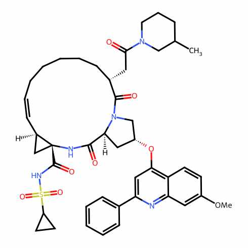 COc1ccc2c(O[C@@H]3C[C@H]4C(=O)N[C@]5(C(=O)NS(=O)(=O)C6CC6)C[C@H]5/C=C\CCCCC[C@H](CC(=O)N5CCCC(C)C5)C(=O)N4C3)cc(-c3ccccc3)nc2c1